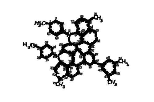 Cc1ccc(N(c2ccc(C)cc2)c2cc(N(c3ccc(C)cc3)c3ccc(C)cc3)c3c4ccccc4c4cc(-c5cc(C)cc(C)c5)cc5c6ccccc6c2c3c54)cc1